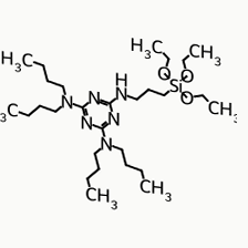 CCCCN(CCCC)c1nc(NCCC[Si](OCC)(OCC)OCC)nc(N(CCCC)CCCC)n1